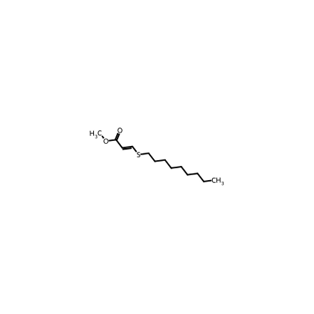 CCCCCCCCCSC=CC(=O)OC